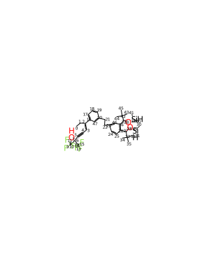 CCC(=CC#CC(O)(C(F)(F)F)C(F)(F)F)c1cccc(CCc2ccc(C(O[SiH](C)C)C(C)(C)C)c(C(O[SiH](C)C)C(C)(C)C)c2)c1